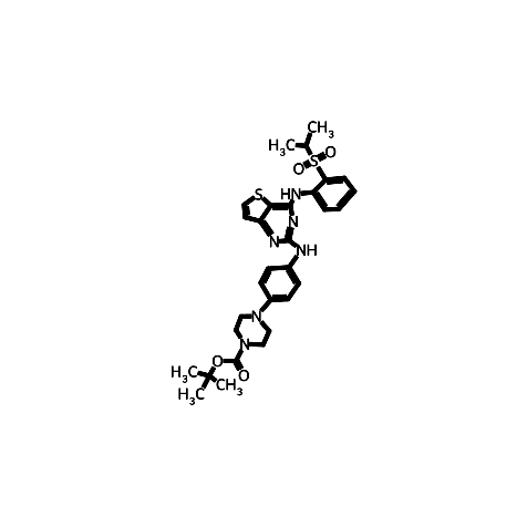 CC(C)S(=O)(=O)c1ccccc1Nc1nc(Nc2ccc(N3CCN(C(=O)OC(C)(C)C)CC3)cc2)nc2ccsc12